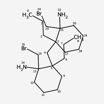 CCCC1(CC2(CCC)CCCCC2(N)CBr)CCCCC1(N)CBr